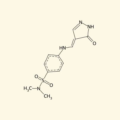 CN(C)S(=O)(=O)c1ccc(N/C=C2\C=NNC2=O)cc1